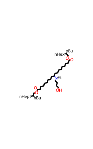 CCCCCCCC(CCCC)COC(=O)CCCCCCCCC(CCCCCCCCC(=O)OCC(CCCC)CCCCCC)N(CC)CCCCO